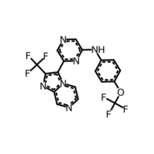 FC(F)(F)Oc1ccc(Nc2cncc(-c3c(C(F)(F)F)nc4cnccn34)n2)cc1